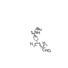 C=C(S/C=C(\C)C=O)C1CCN(C(=S)NCC(C)CC)CC1